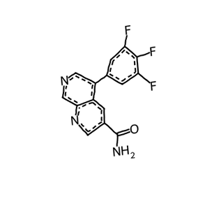 NC(=O)c1cnc2cncc(-c3cc(F)c(F)c(F)c3)c2c1